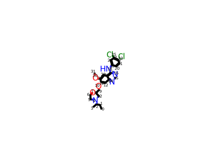 CCC(C)N1CCOC(COc2cc3ncnc(Nc4ccc(Cl)c(Cl)c4)c3cc2OC)C1